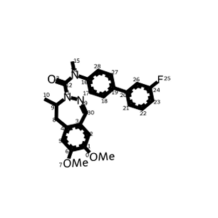 COc1cc2c(cc1OC)CC(C)N(C(=O)N(C)c1ccc(-c3cccc(F)c3)cc1)N=C2